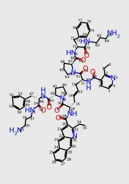 CCc1ncccc1C(=O)N[C@@H](CC=CC[C@H](NC(=O)c1cc2cc3ccccc3cc2nc1CC)C(=O)N1CCC[C@H]1C(=O)N[C@@H](Cc1ccccc1)C(=O)NCCCN)C(=O)N1CCC[C@H]1C(=O)N[C@@H](Cc1ccccc1)C(=O)NCCCN